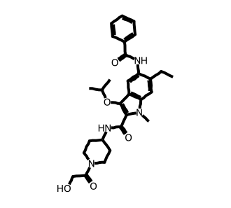 CCc1cc2c(cc1NC(=O)c1ccccc1)c(OC(C)C)c(C(=O)NC1CCN(C(=O)CO)CC1)n2C